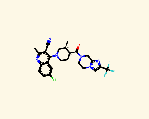 Cc1nc2ccc(Cl)cc2c(N2CC[C@H](C(=O)N3CCn4cc(C(F)(F)F)nc4C3)[C@H](C)C2)c1C#N